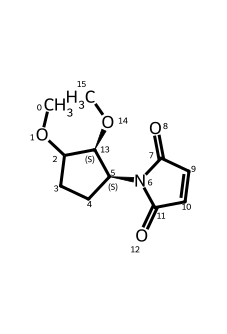 COC1CC[C@H](N2C(=O)C=CC2=O)[C@@H]1OC